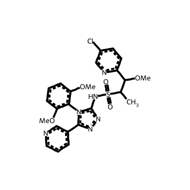 COc1cccc(OC)c1-n1c(NS(=O)(=O)C(C)C(OC)c2ccc(Cl)cn2)nnc1-c1cccnc1